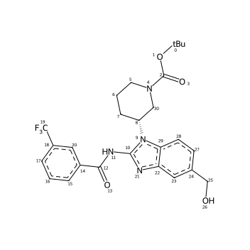 CC(C)(C)OC(=O)N1CCC[C@@H](n2c(NC(=O)c3cccc(C(F)(F)F)c3)nc3cc(CO)ccc32)C1